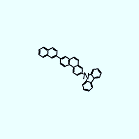 c1ccc2cc(-c3ccc4c(ccc5cc(-n6c7ccccc7c7ccccc76)ccc54)c3)ccc2c1